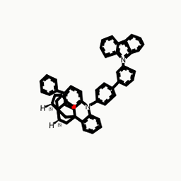 c1ccc(-c2ccc(N(c3ccc(-c4cccc(-n5c6ccccc6c6ccccc65)c4)cc3)c3ccccc3C34CC5C6C[C@@H](C3)C5[C@@H](C6)C4)cc2)cc1